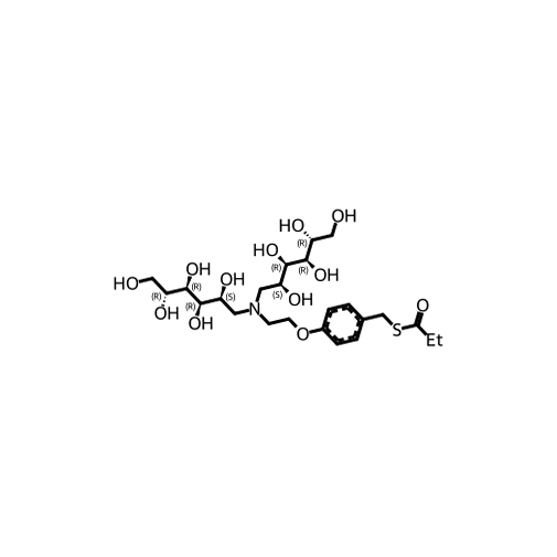 CCC(=O)SCc1ccc(OCCN(C[C@H](O)[C@@H](O)[C@H](O)[C@H](O)CO)C[C@H](O)[C@@H](O)[C@H](O)[C@H](O)CO)cc1